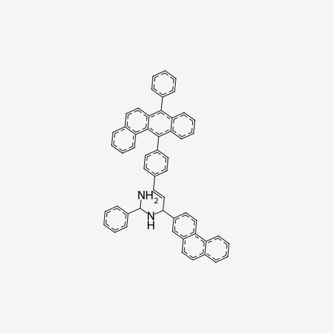 NC(NC(/C=C/c1ccc(-c2c3ccccc3c(-c3ccccc3)c3ccc4ccccc4c23)cc1)c1ccc2c(ccc3ccccc32)c1)c1ccccc1